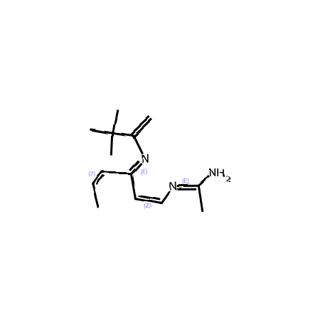 C=C(/N=C(\C=C/C)/C=C\N=C(/C)N)C(C)(C)C